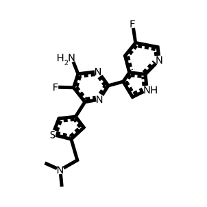 CN(C)Cc1cc(-c2nc(-c3c[nH]c4ncc(F)cc34)nc(N)c2F)cs1